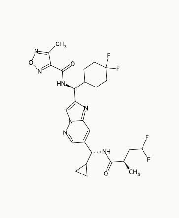 Cc1nonc1C(=O)N[C@H](c1cn2ncc([C@H](NC(=O)[C@H](C)CC(F)F)C3CC3)cc2n1)C1CCC(F)(F)CC1